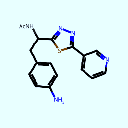 CC(=O)NC(Cc1ccc(N)cc1)c1nnc(-c2cccnc2)s1